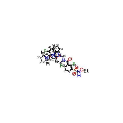 CCONS(=O)(=O)c1ccc(F)c(C(=O)N2CCC(CCN3[C@@H]4CC[C@H]3CC(n3c(C)nc5ccccc53)C4)(c3cccc(F)c3)CC2)c1F